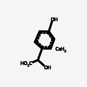 O=C(O)C(O)c1ccc(O)cc1.[CaH2]